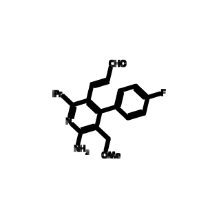 COCc1c(N)nc(C(C)C)c(C=CC=O)c1-c1ccc(F)cc1